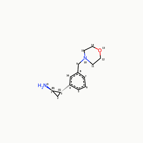 N[C@@H]1C[C@H]1c1cccc(CN2CCOCC2)c1